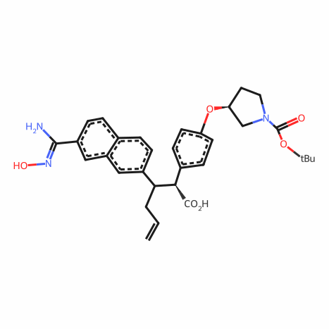 C=CCC(c1ccc2ccc(C(N)=NO)cc2c1)[C@H](C(=O)O)c1ccc(O[C@H]2CCN(C(=O)OC(C)(C)C)C2)cc1